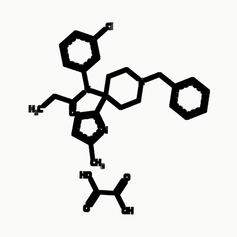 CCC(=O)N(c1cccc(Cl)c1)C1(c2nc(C)cs2)CCN(Cc2ccccc2)CC1.O=C(O)C(=O)O